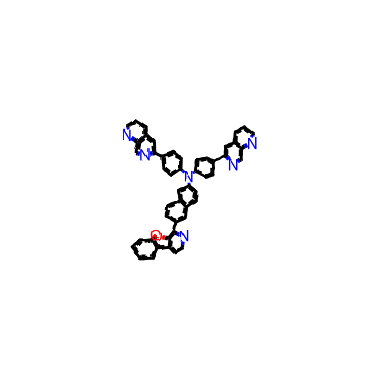 c1cnc2cnc(-c3ccc(N(c4ccc(-c5cc6cccnc6cn5)cc4)c4ccc5cc(-c6nccc7c6oc6ccccc67)ccc5c4)cc3)cc2c1